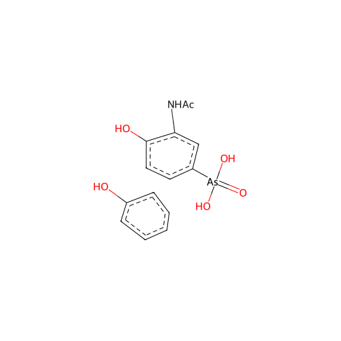 CC(=O)Nc1cc([As](=O)(O)O)ccc1O.Oc1ccccc1